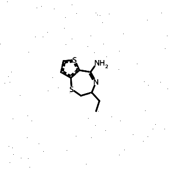 CCC1CSc2ccsc2C(N)=N1